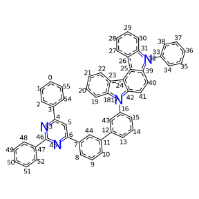 c1ccc(-c2cc(-c3cccc(-c4cccc(-n5c6ccccc6c6c7c8ccccc8n(-c8ccccc8)c7ccc65)c4)c3)nc(-c3ccccc3)n2)cc1